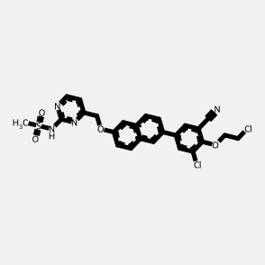 CS(=O)(=O)Nc1nccc(COc2ccc3cc(-c4cc(Cl)c(OCCCl)c(C#N)c4)ccc3c2)n1